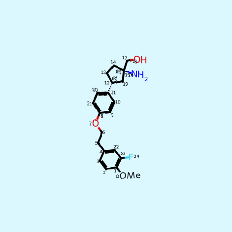 COc1ccc(CCOc2ccc([C@@H]3CC[C@](N)(CO)C3)cc2)cc1F